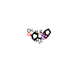 COc1ccc(CN2CC3CCC(C2)C3(OC)OC)cc1